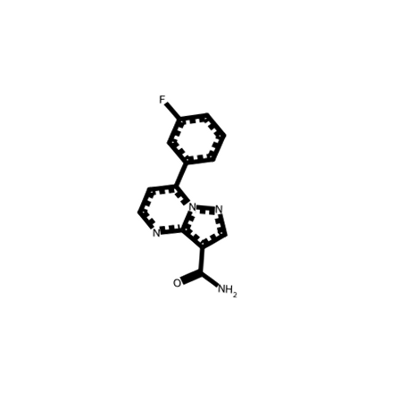 NC(=O)c1cnn2c(-c3cccc(F)c3)ccnc12